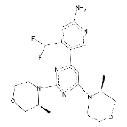 C[C@H]1COCCN1c1cc(-c2cnc(N)cc2C(F)F)nc(N2CCOC[C@@H]2C)n1